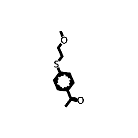 COCCSc1ccc(C(C)=O)cc1